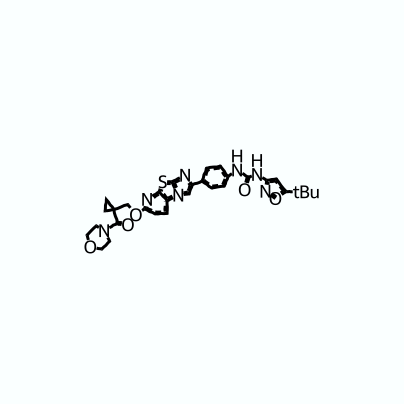 CC(C)(C)c1cc(NC(=O)Nc2ccc(-c3cn4c(n3)sc3nc(OCC5(C(=O)N6CCOCC6)CC5)ccc34)cc2)no1